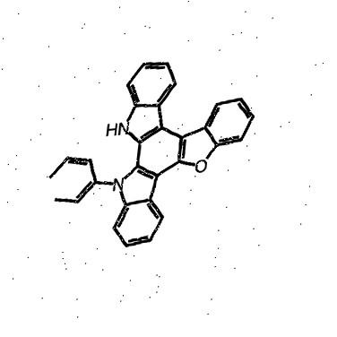 C/C=C\C(=C/C)n1c2ccccc2c2c3oc4ccccc4c3c3c4ccccc4[nH]c3c21